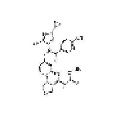 CC(C)(C)OC(=O)Nc1nc2cc(CN(C(=O)c3ccc(C#N)nc3)c3cn(C4CC4)nc3Cl)ccc2c2c1COC2